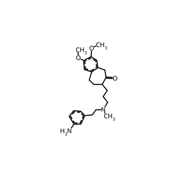 COc1cc2c(cc1OC)CC(=O)C(CCCN(C)CCc1cccc(N)c1)CC2